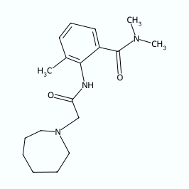 Cc1cccc(C(=O)N(C)C)c1NC(=O)CN1CCCCCC1